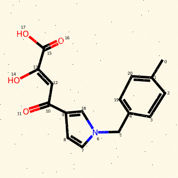 Cc1ccc(Cn2ccc(C(=O)C=C(O)C(=O)O)c2)cc1